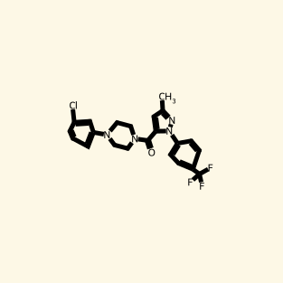 Cc1cc(C(=O)N2CCN(c3cccc(Cl)c3)CC2)n(-c2ccc(C(F)(F)F)cc2)n1